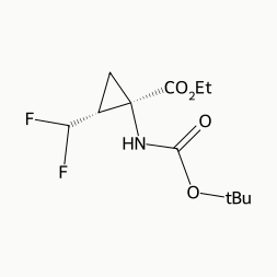 CCOC(=O)[C@@]1(NC(=O)OC(C)(C)C)C[C@H]1C(F)F